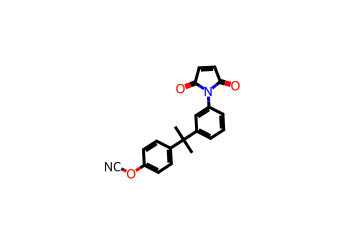 CC(C)(c1ccc(OC#N)cc1)c1cccc(N2C(=O)C=CC2=O)c1